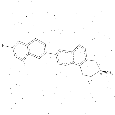 C[C@H]1CCc2c(ccc3cc(-c4ccc5cc(I)ccc5c4)ccc23)C1